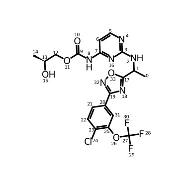 CC(Nc1nccc(NC(=O)OC[C@H](C)O)n1)c1nc(-c2ccc(Cl)c(OC(F)(F)F)c2)no1